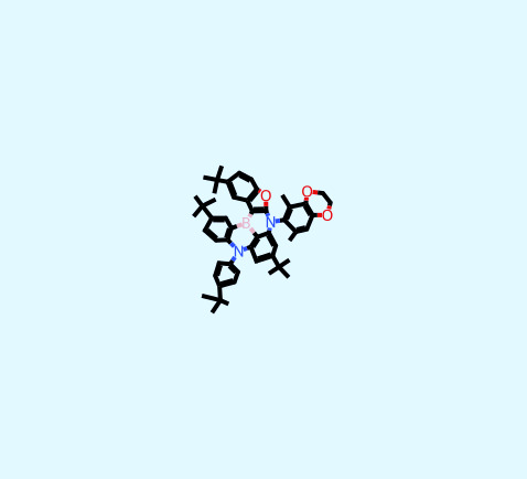 Cc1cc2c(c(C)c1N1c3cc(C(C)(C)C)cc4c3B(c3cc(C(C)(C)C)ccc3N4c3ccc(C(C)(C)C)cc3)c3c1oc1ccc(C(C)(C)C)cc31)OCCO2